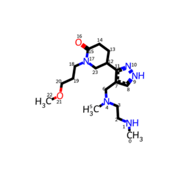 CNCCN(C)Cc1c[nH]nc1C1CCC(=O)N(CCCOC)C1